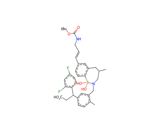 Cc1ccc(C(CC(=O)O)c2ccc(F)cc2F)cc1CN1CC(C)Cc2cc(C=CCNC(=O)OC(C)(C)C)ccc2S1(O)O